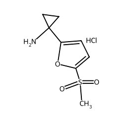 CS(=O)(=O)c1ccc(C2(N)CC2)o1.Cl